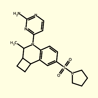 CC1C2CCC2c2cc(S(=O)(=O)N3CCCC3)ccc2N1c1ccnc(N)n1